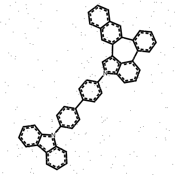 c1ccc2c(c1)-c1cc3ccccc3cc1-c1cn(-c3ccc(-c4ccc(-n5c6ccccc6c6ccccc65)cc4)cc3)c3cccc-2c13